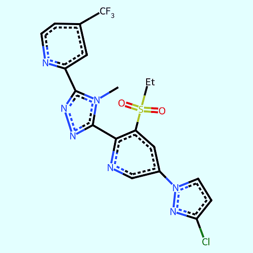 CCS(=O)(=O)c1cc(-n2ccc(Cl)n2)cnc1-c1nnc(-c2cc(C(F)(F)F)ccn2)n1C